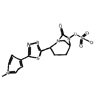 C[n+]1ccc(-c2nnc(C3CCC4CN3C(=O)N4OS(=O)(=O)[O-])s2)cc1